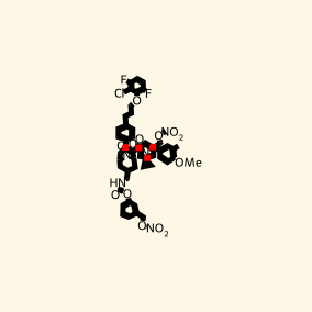 COc1ccc(CN(C(=O)C2=C(c3ccc(CCCOc4c(F)ccc(F)c4Cl)cc3)CC3CC(CNC(=O)Oc4cccc(CO[N+](=O)[O-])c4)CC2N3C(=O)Oc2cccc(CO[N+](=O)[O-])c2)C2CC2)cc1C